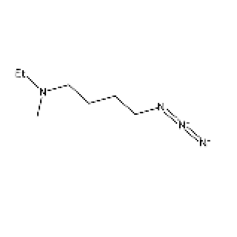 CCN(C)CCCCN=[N+]=[N-]